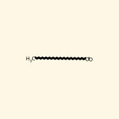 CCCCCCCCCCCCCCCCCCCCCCCCCCCCCCOC=O